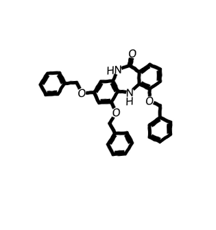 O=C1Nc2cc(OCc3ccccc3)cc(OCc3ccccc3)c2Nc2c(OCc3ccccc3)cccc21